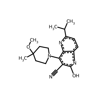 COC1(C)CCN(c2c(C#N)c(O)nc3ccc(C(C)C)nc23)CC1